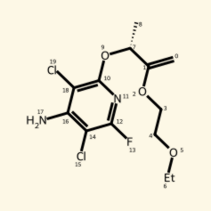 C=C(OCCOCC)[C@@H](C)Oc1nc(F)c(Cl)c(N)c1Cl